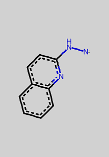 [N]Nc1ccc2ccccc2n1